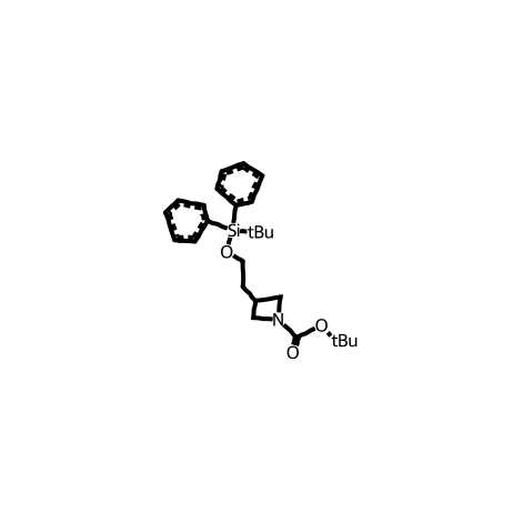 CC(C)(C)OC(=O)N1CC(CCO[Si](c2ccccc2)(c2ccccc2)C(C)(C)C)C1